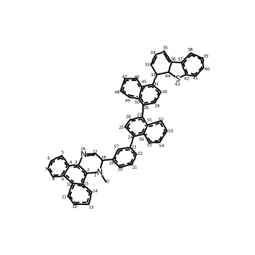 CN1c2c(c3ccccc3c3ccccc23)N=CC1c1cccc(-c2ccc(-c3ccc(C4C=CC=C5c6ccccc6SC54)c4ccccc34)c3ccccc23)c1